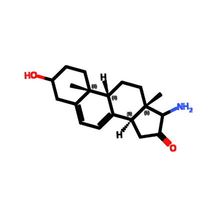 C[C@]12CCC(O)CC1=CC=C1[C@H]2CC[C@]2(C)C(N)C(=O)C[C@@H]12